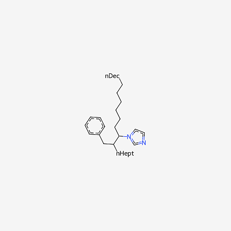 CCCCCCCCCCCCCCCCC(C(CCCCCCC)Cc1ccccc1)n1ccnc1